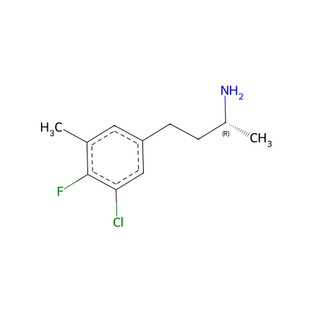 Cc1cc(CC[C@@H](C)N)cc(Cl)c1F